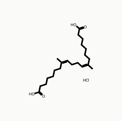 CC(=CCCC=C(C)CCCCCCC(=O)O)CCCCCCC(=O)O.Cl